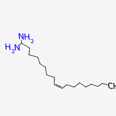 CCCCCCCC/C=C\CCCCCCCC(N)N